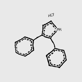 Cl.c1ccc(-c2cc[pH]c2-c2ccccc2)cc1